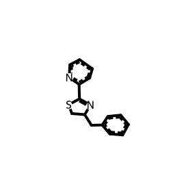 c1ccc(CC2CSC(c3ccccn3)=N2)cc1